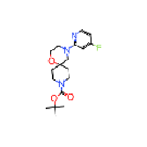 CC(C)(C)OC(=O)N1CCC2(CC1)CN(c1cc(F)ccn1)CCO2